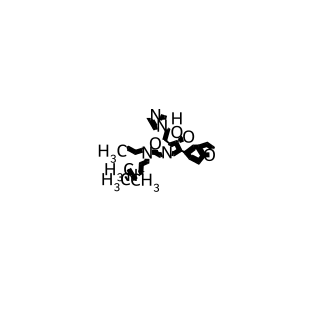 CCCCN(CCC[N+](C)(C)C)C(=O)CN1C[C@H](c2ccc3c(c2)CCO3)[C@@H](C(=O)O)[C@@H]1CCn1ccnc1